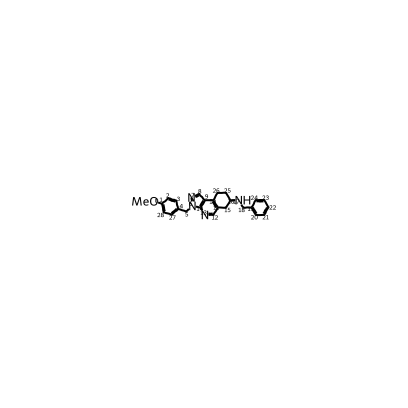 COc1ccc(Cn2ncc3c4c(cnc32)CC(NCc2ccccc2)CC4)cc1